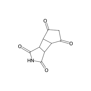 O=C1CC(=O)C2C1C1C(=O)NC(=O)C21